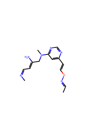 C/C=N/O/C=C/c1cc(N(C)C/C(N)=C/C=N\C)ncn1